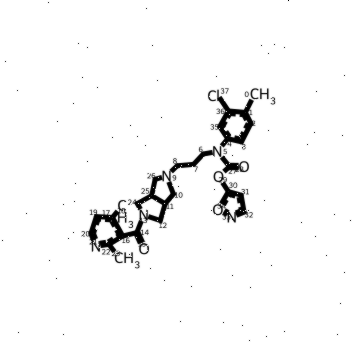 Cc1ccc(N(CCCN2CC3CN(C(=O)c4c(C)ccnc4C)CC3C2)C(=O)Oc2ccno2)cc1Cl